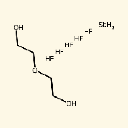 F.F.F.F.F.OCCOCCO.[SbH3]